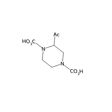 CC(=O)C1CN(C(=O)O)CCN1C(=O)O